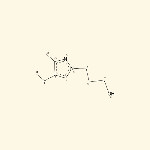 CCc1cn(CCCO)nc1C